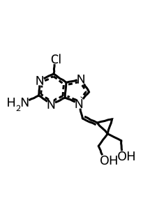 Nc1nc(Cl)c2ncn(C=C3CC3(CO)CO)c2n1